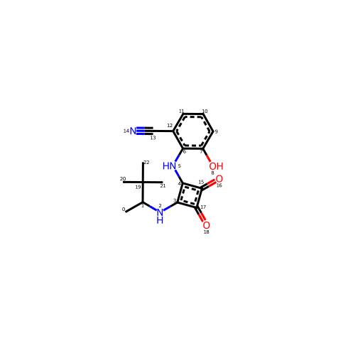 CC(Nc1c(Nc2c(O)cccc2C#N)c(=O)c1=O)C(C)(C)C